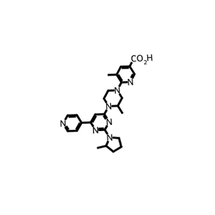 Cc1cc(C(=O)O)cnc1N1CCN(c2cc(-c3ccncc3)nc(N3CCCC3C)n2)C(C)C1